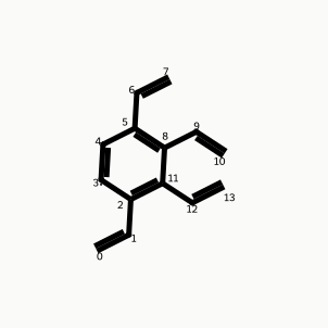 C=Cc1[c]cc(C=C)c(C=C)c1C=C